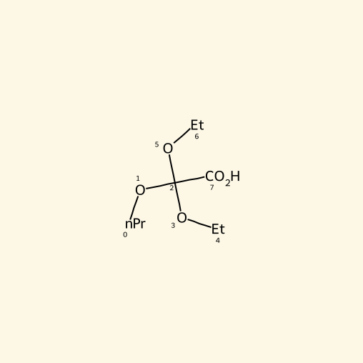 CCCOC(OCC)(OCC)C(=O)O